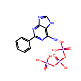 Nc1nc(-c2ccccc2)nc2nc[nH]c12.O=P(O)(O)OP(=O)(O)OP(=O)(O)O